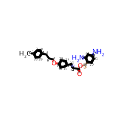 Cc1ccc(CCCOc2ccc(/C=C/C(=O)OSc3ccc(N)cc3N)cc2)cc1